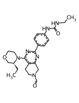 CCNC(=O)Nc1ccc(-c2nc3c(c(N4CCOC[C@@H]4CC)n2)CCN(C=O)C3)cc1